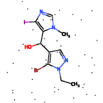 CCn1ncc(C(O)c2c(I)ncn2C)c1Br